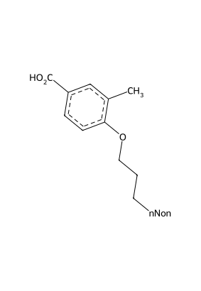 CCCCCCCCCCCCOc1ccc(C(=O)O)cc1C